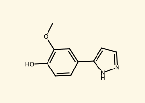 COc1cc(-c2ccn[nH]2)ccc1O